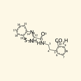 O=C(NCCc1ccccc1C(=O)O)C1=Nc2ccccc2SN1